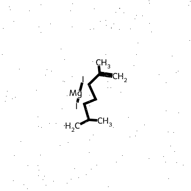 [CH2]C(C)CCCC(=C)C.[I][Mg][I]